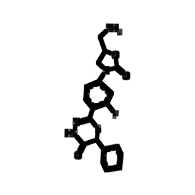 NCC1CN(c2ccc(C3=NNC(=O)C(c4ccccc4)S3)c(F)c2)C(=O)O1